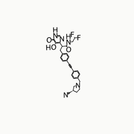 N#C[C@@H]1CCN(Cc2ccc(C#Cc3ccc(CC(C(=O)NCC(F)F)c4nc[nH]c(=O)c4O)cc3)cc2)C1